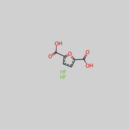 F.F.O=C(O)c1ccc(C(=O)O)o1